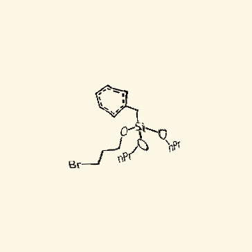 CCCO[Si](Cc1ccccc1)(OCCC)OCCCBr